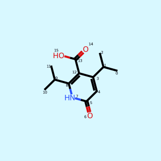 CC(C)c1cc(=O)[nH]c(C(C)C)c1C(=O)O